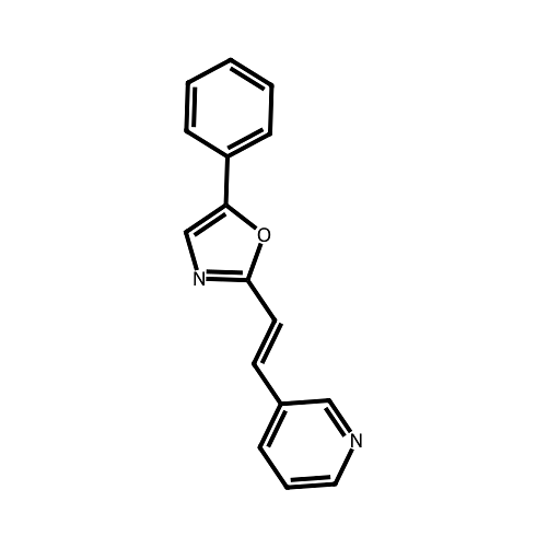 C(=C\c1ncc(-c2ccccc2)o1)/c1cccnc1